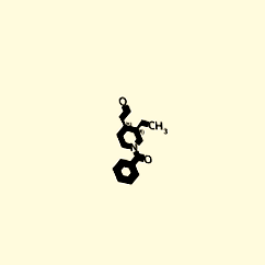 CC[C@H]1CN(C(=O)c2ccccc2)CC[C@H]1CC=O